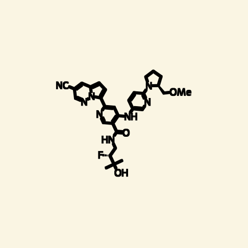 COC[C@@H]1CCCN1c1ccc(Nc2cc(-c3ccc4cc(C#N)cnn34)ncc2C(=O)NC[C@@H](F)C(C)(C)O)cn1